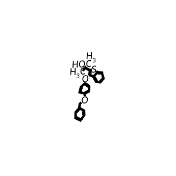 CC(C)(O)c1sc2ccccc2c1Oc1ccc(OCc2ccccc2)cc1